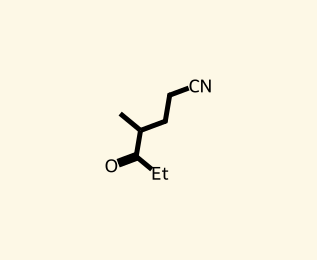 CCC(=O)C(C)CCC#N